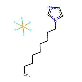 CCCCCCCCC[n+]1cc[nH]c1.F[P-](F)(F)(F)(F)F